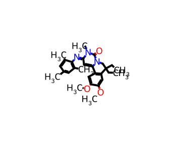 CCC1(CC)Cn2c(cc(=Nc3c(C)cc(C)cc3C)n(C)c2=O)-c2cc(OC)c(OC)cc21